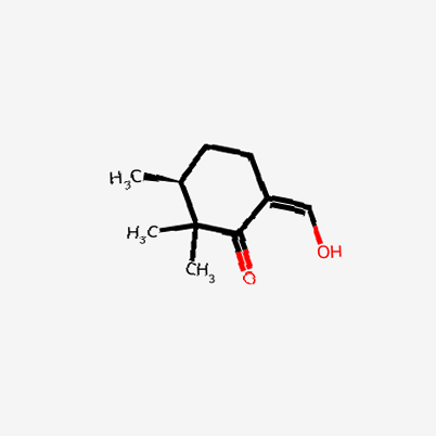 C[C@H]1CC/C(=C/O)C(=O)C1(C)C